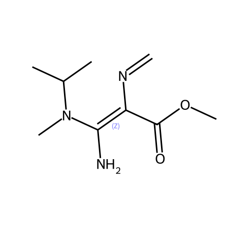 C=N/C(C(=O)OC)=C(/N)N(C)C(C)C